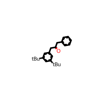 CC(C)(C)c1cc(CC(=O)Cc2ccccc2)cc(C(C)(C)C)c1